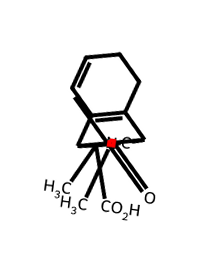 CN1C(=O)C2CC(C)(C(=O)O)C1C1=C2CCC=C1